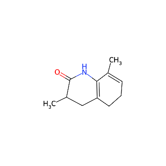 CC1=CCCC2=C1NC(=O)C(C)C2